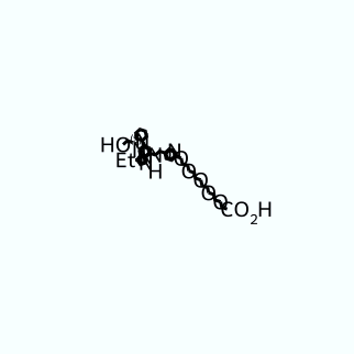 CCc1cnn2c(NCc3ccc(OCCOCCOCCOCCOCC(=O)O)nc3)cc(N3CCCC[C@H]3CCO)nc12